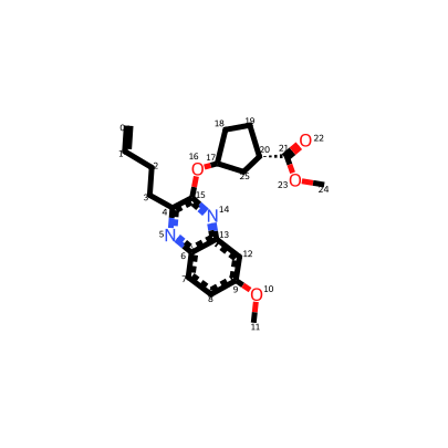 C=CCCc1nc2ccc(OC)cc2nc1OC1CC[C@H](C(=O)OC)C1